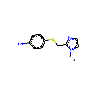 Cn1ccnc1CSc1ccc(N)cc1